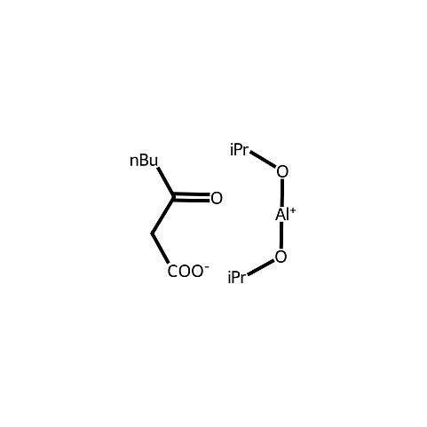 CC(C)[O][Al+][O]C(C)C.CCCCC(=O)CC(=O)[O-]